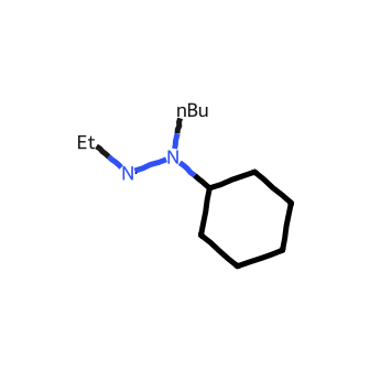 CCCCN([N]CC)C1CCCCC1